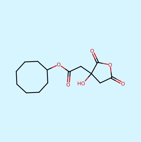 O=C1CC(O)(CC(=O)OC2CCCCCCC2)C(=O)O1